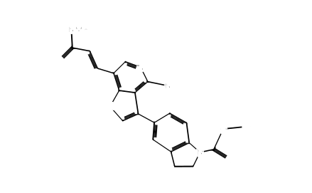 CNC(=O)C=Cc1cnc(N)c2c(-c3ccc4c(c3)CCN4C(=O)OC(C)(C)C)csc12